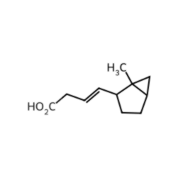 CC12CC1CCC2/C=C/CC(=O)O